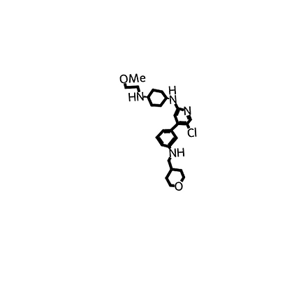 COCCN[C@H]1CC[C@H](Nc2cc(-c3cccc(NCC4CCOCC4)c3)c(Cl)cn2)CC1